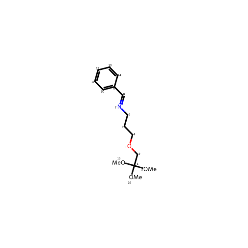 COC(COCCCN=Cc1ccccc1)(OC)OC